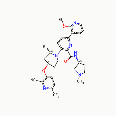 CCOc1ncccc1-c1ccc(N2CC[C@@H](Oc3ccc(C(F)(F)F)nc3C#N)C[C@H]2CC)c(C(=O)N[C@H]2CCN(C)C2)n1